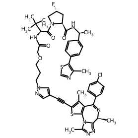 Cc1ncsc1-c1ccc([C@H](C)NC(=O)[C@@H]2C[C@@H](F)CN2C(=O)[C@@H](NC(=O)COCCCn2cc(C#Cc3sc4c(c3C)C(c3ccc(Cl)cc3)=N[C@@H](C)c3nnc(C)n3-4)cn2)C(C)(C)C)cc1